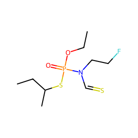 CCOP(=O)(SC(C)CC)N(C=S)CCF